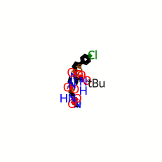 CN(C)S(=O)(=O)NCCS(=O)(=O)N1CCN(S(=O)(=O)c2ccc(-c3ccc(Cl)cc3)s2)[C@@H](C(=O)NOC(C)(C)C)C1